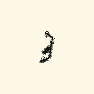 CCOC(=O)CCCC/C=C\CCCCCCCCC(CCCCCCCC/C=C\CCCCC(=O)OCC)OC(=O)CC(C)CC(C)CN(C)C